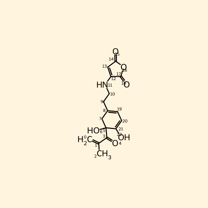 C=C(C)C(=O)C1(O)CC(CCNC2=CC(=O)OC2=O)=CC=C1O